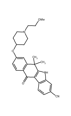 COCCN1CCC(Oc2ccc3c(c2)C(C)(C)C2=C(C3=O)c3ccc(C#N)cc3B2)CC1